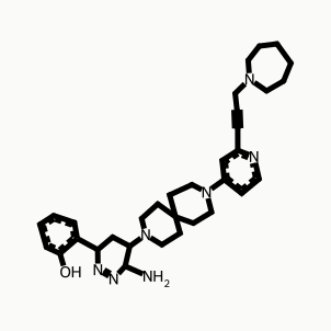 NC1N=NC(c2ccccc2O)CC1N1CCC2(CCN(c3ccnc(C#CCN4CCCCCC4)c3)CC2)CC1